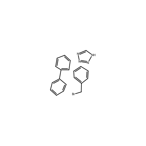 BrCc1ccccc1.c1ccc(-c2ccccc2)cc1.c1nnn[nH]1